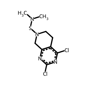 CN(C)SN1CCc2c(Cl)nc(Cl)nc2C1